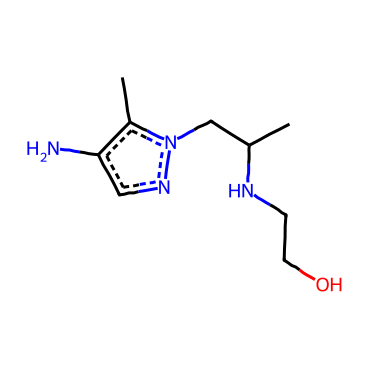 Cc1c(N)cnn1CC(C)NCCO